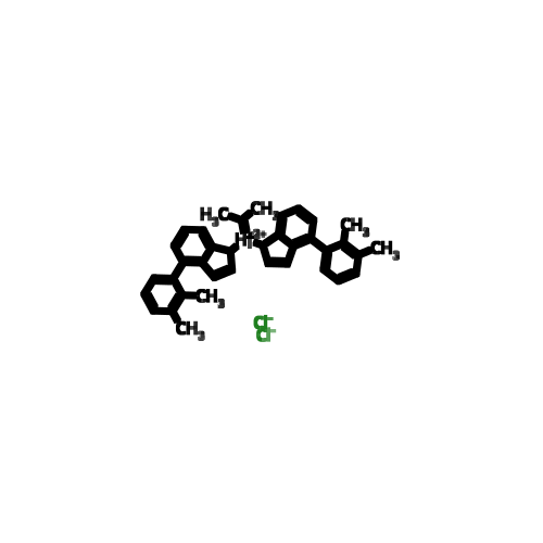 C[C](C)=[Hf+2]([CH]1C=Cc2c(-c3cccc(C)c3C)cccc21)[CH]1C=Cc2c(-c3cccc(C)c3C)cccc21.[Cl-].[Cl-]